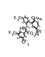 COc1ccc(C(C)C)cc1-c1ccc(C(F)(F)F)cc1CNC(C(=O)O)c1cc(C(F)(F)F)cc(C(F)(F)F)c1